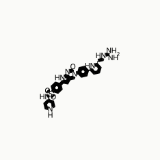 N=C(N)NCC[C@@H]1CCC[C@@H](c2ccc(-n3cc4cc(-c5ccc(S(=O)(=O)NC6CCNCC6)cc5)[nH]c4nc3=O)cc2)N1